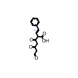 O=CCC(=O)CC(=O)C(/C=C/c1ccccc1)C(=O)O